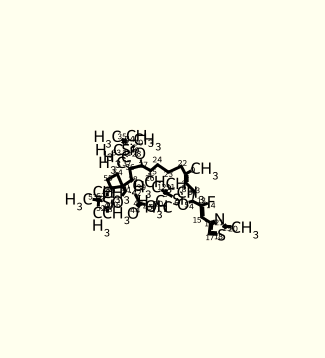 C/C(=C\C[C@H](O[Si](C)(C)C(C)(C)C)/C(F)=C/c1csc(C)n1)CCC[C@H](C)[C@H](O[Si](C)(C)C(C)(C)C)[C@@H](C)C(=O)C1([C@H](CC(=O)O)O[Si](C)(C)C(C)(C)C)CCC1